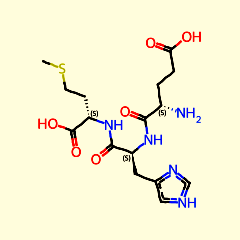 CSCC[C@H](NC(=O)[C@H](Cc1c[nH]cn1)NC(=O)[C@@H](N)CCC(=O)O)C(=O)O